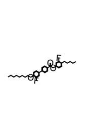 CCCCCCCCOc1ccc(-c2ccc(C(=O)Oc3ccc(CCCCC)c(F)c3)cc2)cc1F